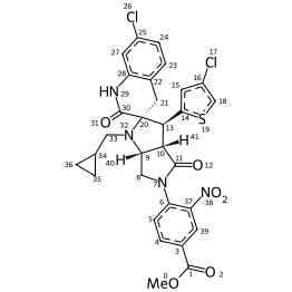 COC(=O)c1ccc(N2C[C@H]3[C@@H](C2=O)[C@H](c2cc(Cl)cs2)[C@@]2(Cc4ccc(Cl)cc4NC2=O)N3CC2CC2)c([N+](=O)[O-])c1